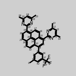 Cc1cc(-c2cc(-c3nc(C)cc(C)n3)c3ccc4c(-c5nc(C)cc(C)n5)ccc5ccc2c3c54)cc(C(F)(F)F)c1